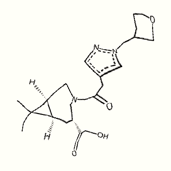 CC1(C)[C@@H]2[C@@H](C(=O)O)N(C(=O)c3cnn(C4COC4)c3)C[C@@H]21